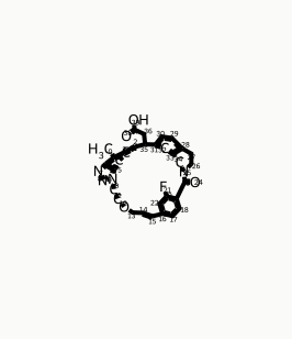 Cc1c2ccc3c1nnn3CCOC/C=C/c1ccc(c(F)c1)C(=O)N1CCc3ccc(cc3C1)C2CC(=O)O